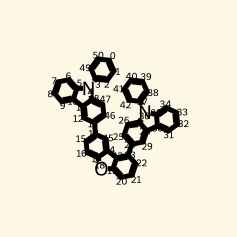 c1ccc(-n2c3ccccc3c3cc(-c4ccc5oc6cccc(-c7ccc8c(c7)c7ccccc7n8-c7ccccc7)c6c5c4)ccc32)cc1